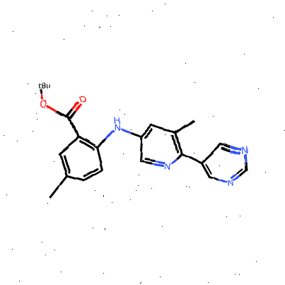 Cc1ccc(Nc2cnc(-c3cncnc3)c(C)c2)c(C(=O)OC(C)(C)C)c1